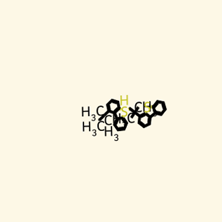 CCC(C)(C)c1cccc2c1-c1ccccc1[SH]2CC(C)(C)c1cccc2c1sc1ccccc12